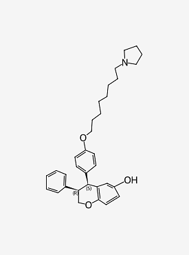 Oc1ccc2c(c1)[C@H](c1ccc(OCCCCCCCCN3CCCC3)cc1)[C@H](c1ccccc1)CO2